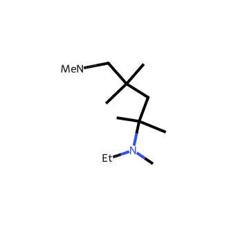 CCN(C)C(C)(C)CC(C)(C)CNC